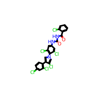 O=C(NC(=O)c1ccccc1Cl)Nc1cc(Cl)c(-n2cc(Cl)c(-c3ccc(Cl)cc3Cl)c2)c(Cl)c1